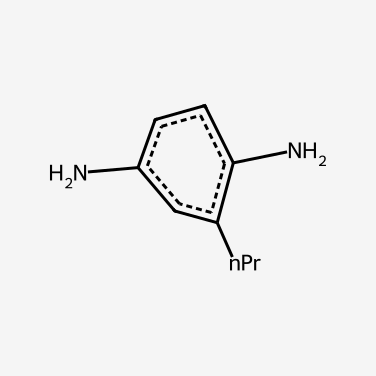 [CH2]CCc1cc(N)ccc1N